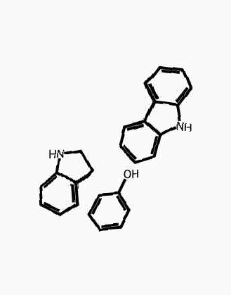 Oc1ccccc1.c1ccc2c(c1)CCN2.c1ccc2c(c1)[nH]c1ccccc12